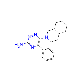 Nc1nnc(N2CCC3CCCCC3C2)c(-c2ccccc2)n1